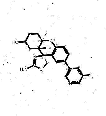 C[C@@]12CCC(O)C[C@H]1[C@@]1(COC(N)=N1)c1cc(-c3cncc(Cl)c3)ccc1O2